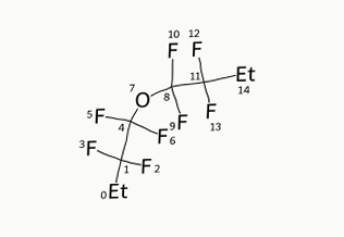 CCC(F)(F)C(F)(F)OC(F)(F)C(F)(F)CC